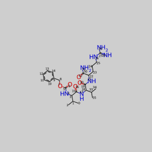 CC(C)C(NC(=O)OCc1ccccc1)C(=O)NC(C(=O)NC(CCCNC(=N)N)C(N)=O)C(C)C